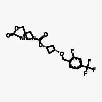 O=C1NC2(CO1)CN(C(=O)O[C@H]1C[C@@H](OCc3ccc(C(F)(F)F)cc3F)C1)C2